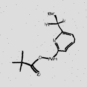 [2H]C([2H])(Br)c1cccc(NOC(=O)C(C)(C)C)n1